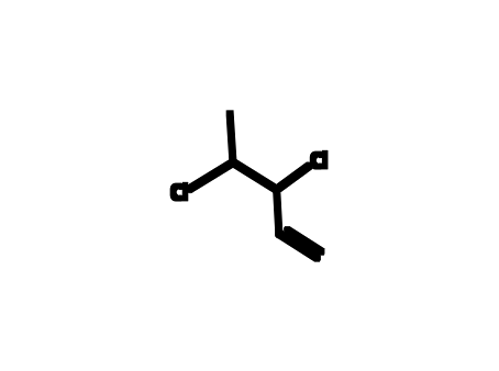 C=CC(Cl)C(C)Cl